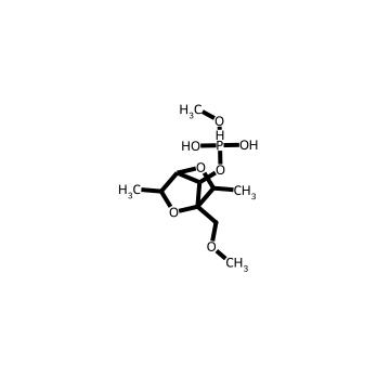 COCC12OC(C)C(OC1C)C2O[PH](O)(O)OC